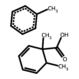 CC1C=CC=CC1(C)C(=O)O.Cc1ccccc1